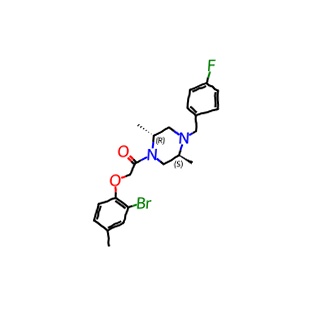 Cc1ccc(OCC(=O)N2C[C@H](C)N(Cc3ccc(F)cc3)C[C@H]2C)c(Br)c1